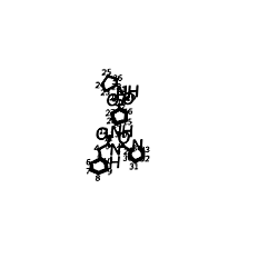 O=C(NC(Cc1ccccc1)C(=O)Nc1ccc(S(=O)(=O)NC2CCCC2)cc1)c1ccccn1